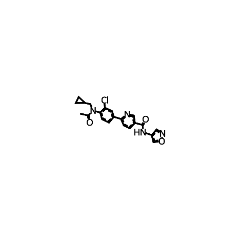 CC(=O)N(CC1CC1)c1ccc(-c2ccc(C(=O)Nc3cnoc3)cn2)cc1Cl